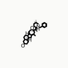 CC1=C2C[C@H]3C(CCC4CC(=O)CC[C@@]43C)[C@@H]2CC[C@@]2(C1)OC1C[C@H](C)CN(Cc3ccccc3)[C@H]1[C@H]2C